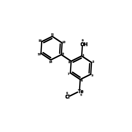 Oc1ccc([Te]Cl)cc1-c1ccccc1